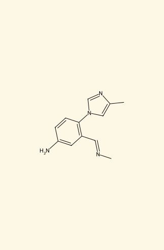 C/N=C/c1cc(N)ccc1-n1cnc(C)c1